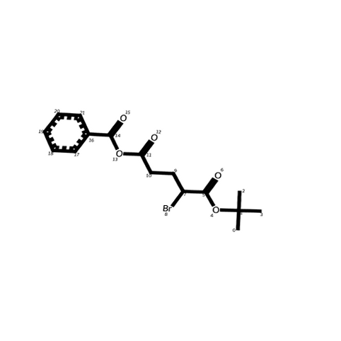 CC(C)(C)OC(=O)C(Br)CCC(=O)OC(=O)c1ccccc1